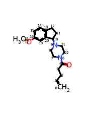 C=CCCC(=O)N1CCN(C2CCc3ccc(OC)cc32)CC1